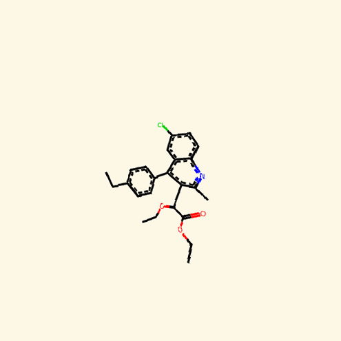 CCOC(=O)C(OCC)c1c(C)nc2ccc(Cl)cc2c1-c1ccc(CC)cc1